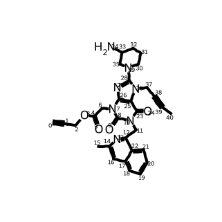 C#CCOC(=O)Cn1c(=O)n(Cc2nc(C)cc3ccccc23)c(=O)c2c1nc(N1CCCC(N)C1)n2CC#CC